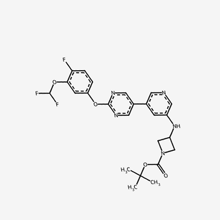 CC(C)(C)OC(=O)N1CC(Nc2cncc(-c3cnc(Oc4ccc(F)c(OC(F)F)c4)nc3)c2)C1